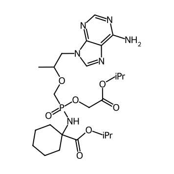 CC(C)OC(=O)COP(=O)(COC(C)Cn1cnc2c(N)ncnc21)NC1(C(=O)OC(C)C)CCCCC1